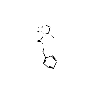 C[C@@H]1COS(=O)(=O)N1C(=O)OCc1ccccc1